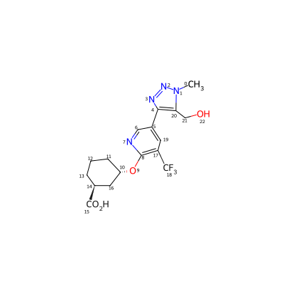 Cn1nnc(-c2cnc(O[C@H]3CCC[C@H](C(=O)O)C3)c(C(F)(F)F)c2)c1CO